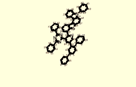 c1ccc(-c2ccc(-c3ccccc3)c(-c3cnc(-c4cccc5c4sc4ccc6c(c7ccccc7n6-c6ccccc6)c45)c(-c4nc(-c5ccccc5)nc(-c5ccccc5)n4)c3)c2)cc1